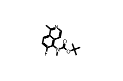 Cc1nccc2c(N(C)C(=O)OC(C)(C)C)c(F)ccc12